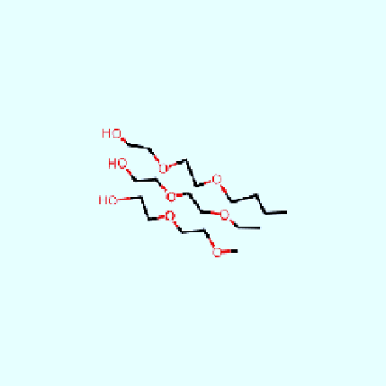 CCCCOCCOCCO.CCOCCOCCO.COCCOCCO